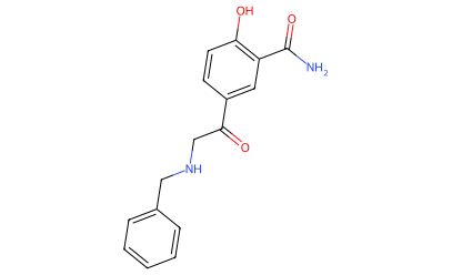 NC(=O)c1cc(C(=O)CNCc2ccccc2)ccc1O